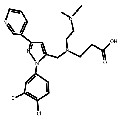 CN(C)CCN(CCC(=O)O)Cc1cc(-c2cccnc2)nn1-c1ccc(Cl)c(Cl)c1